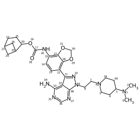 CN(C)C1CCN(CCn2nc(-c3ccc(NC(=O)OC4CCC5CC4C5)c4c3OCO4)c3c(N)ncnc32)CC1